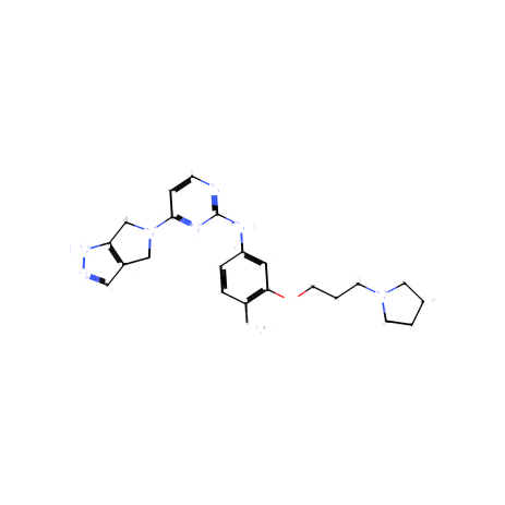 COc1ccc(Nc2nccc(N3Cc4cn[nH]c4C3)n2)cc1OCCCN1CCCC1